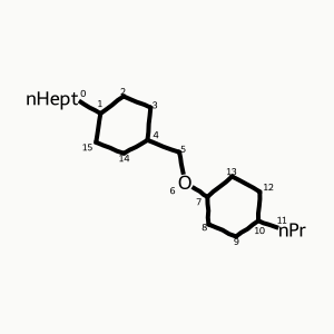 CCCCCCCC1CCC(COC2CCC(CCC)CC2)CC1